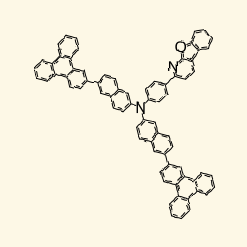 c1ccc2c(c1)oc1nc(-c3ccc(N(c4ccc5cc(-c6ccc7c8ccccc8c8ccccc8c7c6)ccc5c4)c4ccc5cc(-c6ccc7c8ccccc8c8ccccc8c7c6)ccc5c4)cc3)ccc12